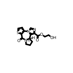 O=C(OCCO)c1ncn2c1[C@@H]1CCCN1C(=O)c1sccc1-2